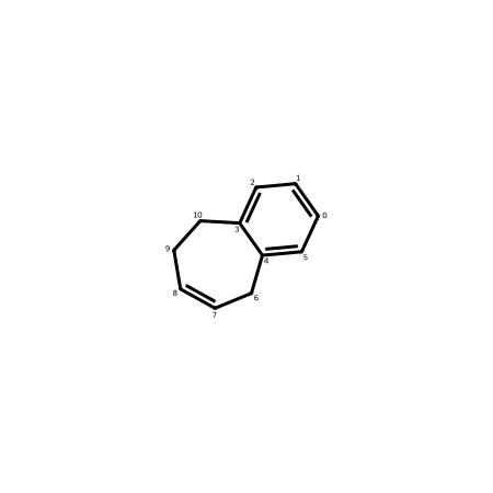 [c]1ccc2c(c1)CC=CCC2